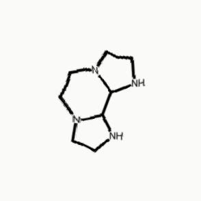 C1CN2CCN3CCNC3C2N1